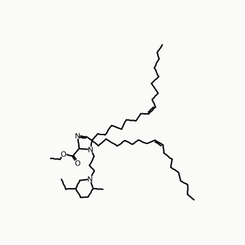 CCCCCCCC/C=C\CCCCCCCC1(CCCCCCC/C=C\CCCCCCCC)C=NC(C(=O)OCC)N1CCCN1CC(CC)CCC1C